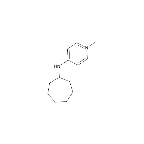 C[n+]1ccc(NC2CCCCCC2)cc1